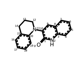 O=c1[nH]c2ccccc2cc1N1CCCc2ccccc21